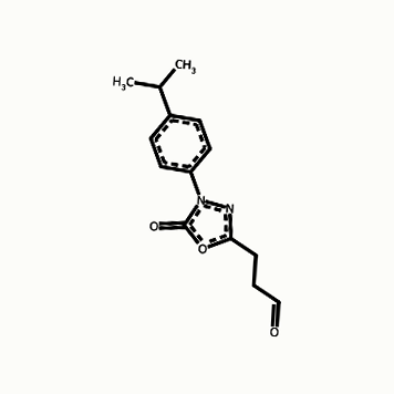 CC(C)c1ccc(-n2nc(CCC=O)oc2=O)cc1